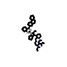 C=C/C(C)=C(\C=C/C)C(/C=C\CCC1=C(c2c(C=C)n(-c3nc(-c4ccc5c(ccc6ccccc65)c4)c4ccccc4n3)c3ccccc23)C=CCC1)=C(\C)C=C